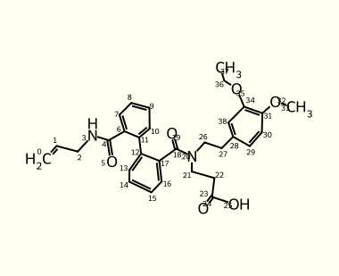 C=CCNC(=O)c1ccccc1-c1ccccc1C(=O)N(CCC(=O)O)CCc1ccc(OC)c(OCC)c1